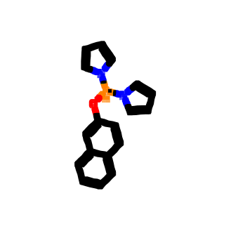 c1ccc2cc(O[PH](n3cccc3)n3cccc3)ccc2c1